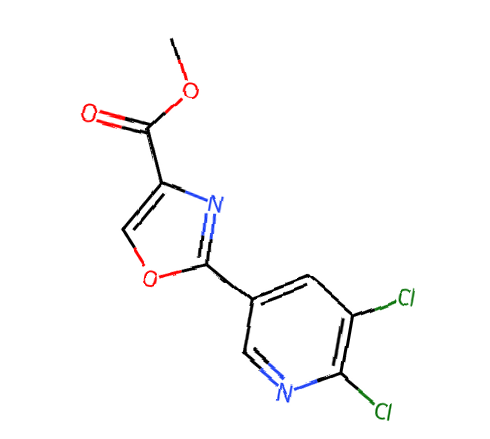 COC(=O)c1coc(-c2cnc(Cl)c(Cl)c2)n1